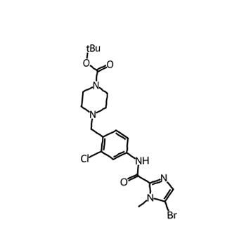 Cn1c(Br)cnc1C(=O)Nc1ccc(CN2CCN(C(=O)OC(C)(C)C)CC2)c(Cl)c1